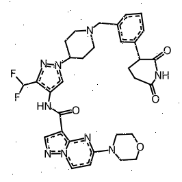 O=C1CCC(c2cccc(CN3CCC(n4cc(NC(=O)c5cnn6ccc(N7CCOCC7)nc56)c(C(F)F)n4)CC3)c2)C(=O)N1